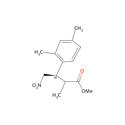 COC(=O)C(C)[C@@H](C[N+](=O)[O-])c1ccc(C)cc1C